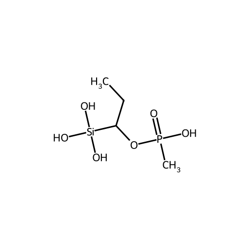 CCC(OP(C)(=O)O)[Si](O)(O)O